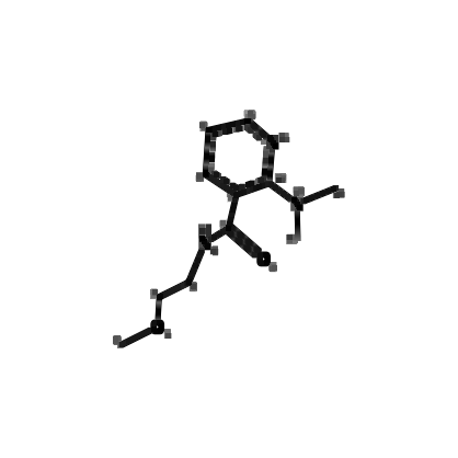 COCCNC(=O)c1cccnc1N(C)C